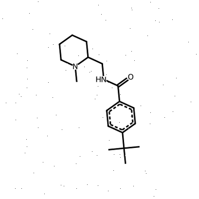 CN1CCCCC1CNC(=O)c1ccc(C(C)(C)C)cc1